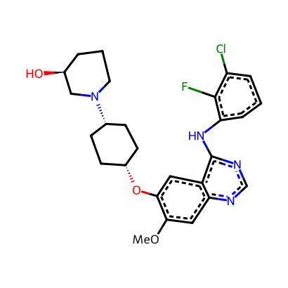 COc1cc2ncnc(Nc3cccc(Cl)c3F)c2cc1O[C@H]1CC[C@@H](N2CCC[C@H](O)C2)CC1